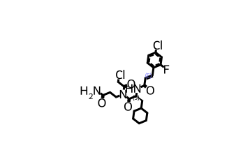 NC(=O)CCN(C(=O)CCl)C(=O)[C@H](CC1CCCCC1)NC(=O)/C=C/c1ccc(Cl)cc1F